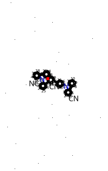 N#Cc1ccc2c(c1)c1ccccc1n2-c1ccc(-c2cccc(-c3cccc(C#N)c3-n3c4c#cccc4c4ccccc43)c2C#N)cc1